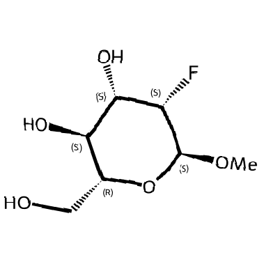 CO[C@H]1O[C@H](CO)[C@@H](O)[C@H](O)[C@@H]1F